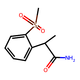 CC(C(N)=O)c1ccccc1S(C)(=O)=O